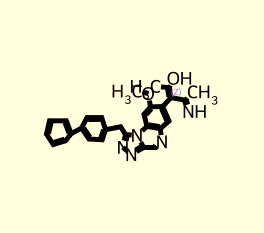 COc1cc2c(cc1/C(C(C)=N)=C(\C)O)ncc1nnc(Cc3ccc(-c4ccccc4)cc3)n12